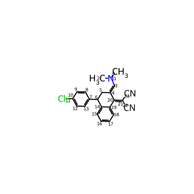 CN(C)/C=C1\CC(c2ccc(Cl)cc2)c2ccccc2C1=C(C#N)C#N